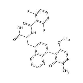 COc1cnn(C)c(=O)c1-c1ccc(CC(NC(=O)c2c(F)cccc2F)C(=O)O)c2cccnc12